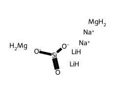 O=[Si]([O-])[O-].[LiH].[LiH].[MgH2].[MgH2].[Na+].[Na+]